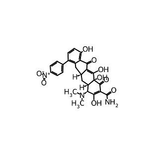 CN(C)[C@@H]1C(O)=C(C(N)=O)C(=O)[C@@]2(O)C(O)=C3C(=O)c4c(O)ccc(-c5ccc([N+](=O)[O-])cc5)c4C[C@H]3C[C@@H]12